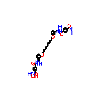 CNC(=O)c1ccc(C(=O)N/N=C/c2cccc(OCCCCCCCCCCCOc3cccc(/C=N/NC(=O)c4ccc(C(=O)NO)cc4)c3)c2)cc1